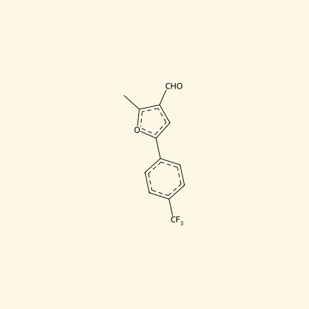 Cc1oc(-c2ccc(C(F)(F)F)cc2)cc1C=O